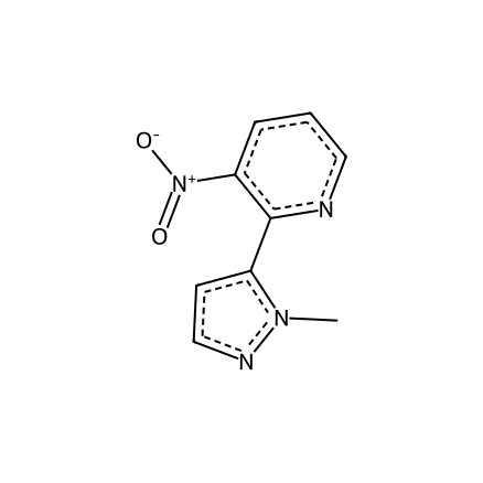 Cn1nccc1-c1ncccc1[N+](=O)[O-]